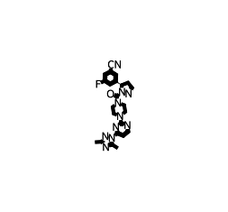 Cc1nc(C)n(-c2ccnc(N3CCN(C(=O)N4N=CC[C@H]4c4cc(F)cc(C#N)c4)CC3)n2)n1